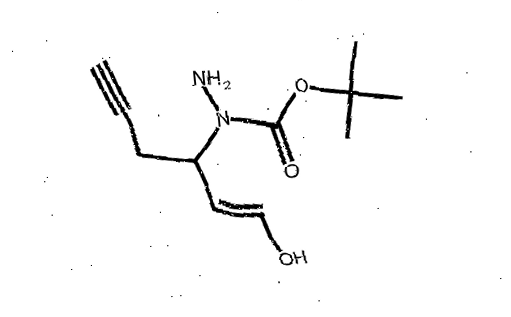 C#CCC(C=CO)N(N)C(=O)OC(C)(C)C